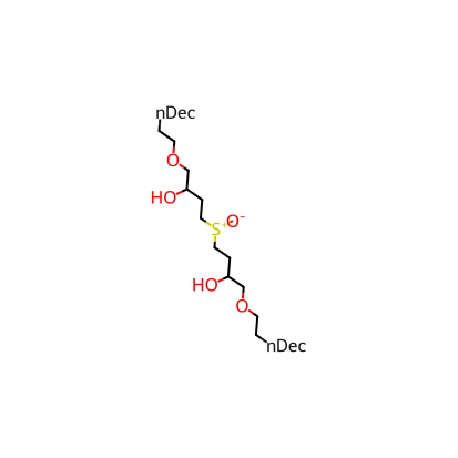 CCCCCCCCCCCCOCC(O)CC[S+]([O-])CCC(O)COCCCCCCCCCCCC